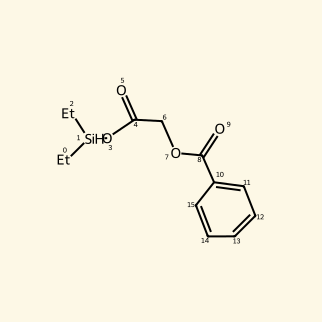 CC[SiH](CC)OC(=O)COC(=O)c1ccccc1